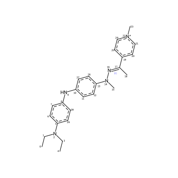 CCN(CC)c1ccc(Nc2ccc(N(C)/N=C(\C)c3cc[n+](C)cc3)cc2)cc1